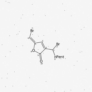 CCCCCC(Br)C1=CC(=CBr)OC1=O